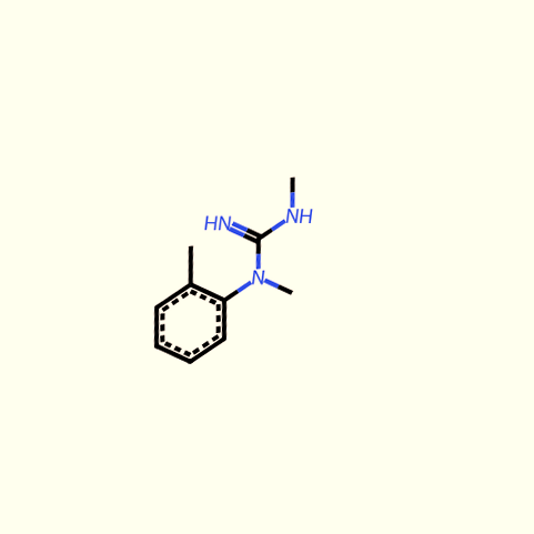 CNC(=N)N(C)c1ccccc1C